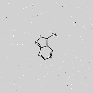 Cc1snc2ncncc12